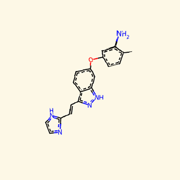 Cc1ccc(Oc2ccc3c(C=Cc4ncc[nH]4)n[nH]c3c2)cc1N